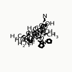 CC(C)C[C@H](NC(=O)[C@H](Cc1cn(-c2ccccc2)c2ccccc12)N(C)C(=O)[C@H](CC(C)C)NC(=O)[C@H](CC(C)C)N(C)C(=O)[C@@H](N)C(F)(F)F)C(=O)N(C)[C@@H](C)C(=O)O[C@H](CCC#N)C(=O)O